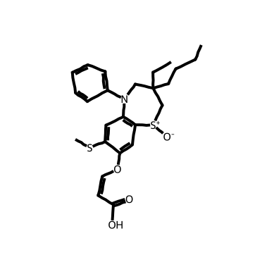 CCCCC1(CC)CN(c2ccccc2)c2cc(SC)c(O/C=C\C(=O)O)cc2[S+]([O-])C1